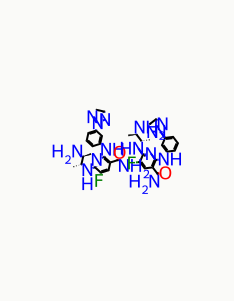 C[C@H](N)[C@@H](C)Nc1nc(Nc2cccc(-n3nccn3)c2)c(C(N)=O)cc1F.C[C@H](Nc1nc(Nc2cccc(-n3nccn3)c2)c(C(N)=O)cc1F)[C@@H](C)N